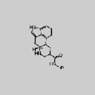 CCCNC(=O)C1CN[C@@H]2Cc3c[nH]c4cccc(c34)C2C1